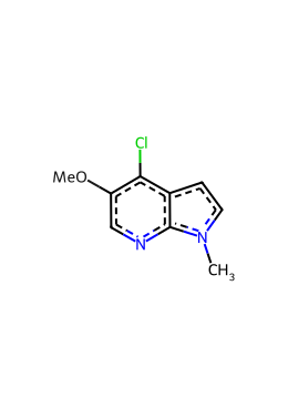 COc1cnc2c(ccn2C)c1Cl